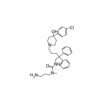 CN(CCCN)C(=O)NCC(CCCN1CCC(O)(c2ccc(Cl)cc2)CC1)(c1ccccc1)c1ccccc1